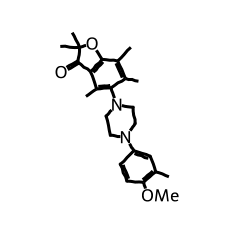 COc1ccc(N2CCN(c3c(C)c(C)c4c(c3C)C(=O)C(C)(C)O4)CC2)cc1C